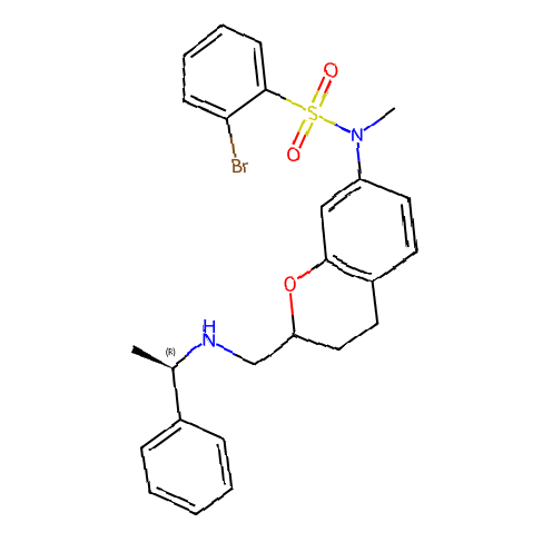 C[C@@H](NCC1CCc2ccc(N(C)S(=O)(=O)c3ccccc3Br)cc2O1)c1ccccc1